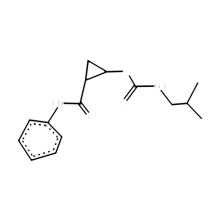 CC(C)CNC(=O)OC1CC1C(=O)Nc1ccccc1